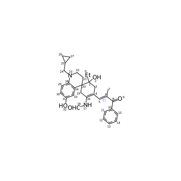 CCC1(O)CC(/C=C(\C)C(=O)c2ccccc2)=C(NC=O)CC12CCN(CC1CC1)c1ccc(O)cc12